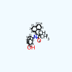 CC1(C)C(=O)N(C2C3CC4CC2CC(O)(C4)C3)C1c1cccc2ccccc12